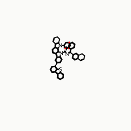 C1=Cc2ccc(-c3nc(-n4c5ccc(-c6cccc7c6sc6ccccc67)cc5c5ccc6c7c(n(-c8ccccc8)c6c54)CCC=C7)nc4ccccc34)cc2CC1